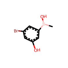 CB(O)c1cc(O)cc(Br)c1